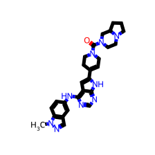 Cn1ncc2cc(Nc3ncnc4[nH]c(C5=CCN(C(=O)N6CCN7CCCC7C6)CC5)cc34)ccc21